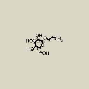 CCCO[C@@H]1O[C@H](CO)[C@@H](O)[C@H](O)[C@@H]1O